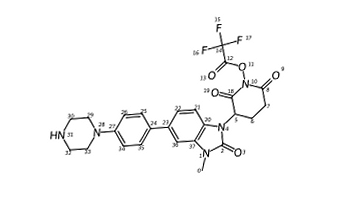 Cn1c(=O)n(C2CCC(=O)N(OC(=O)C(F)(F)F)C2=O)c2ccc(-c3ccc(N4CCNCC4)cc3)cc21